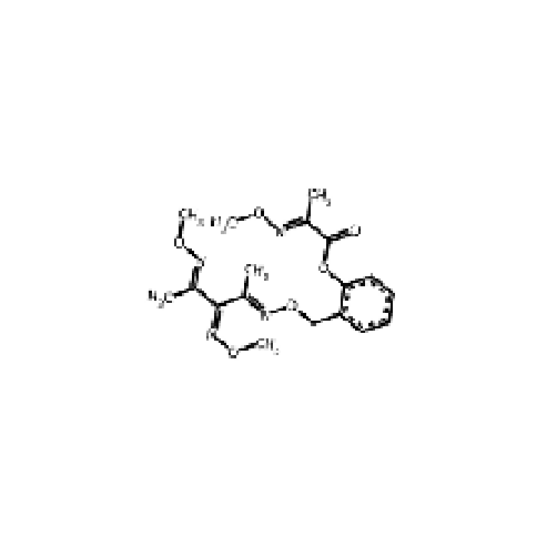 CON=C(C)C(=O)Oc1ccccc1CON=C(C)C(=NOC)C(C)=NOC